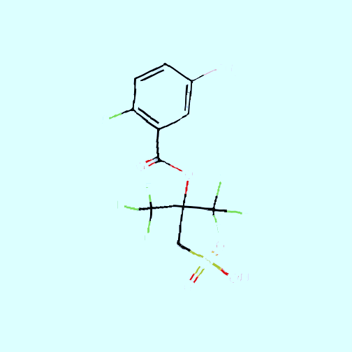 Bc1ccc(F)c(C(=O)OC(CS(=O)(=O)O)(C(F)(F)F)C(F)(F)F)c1